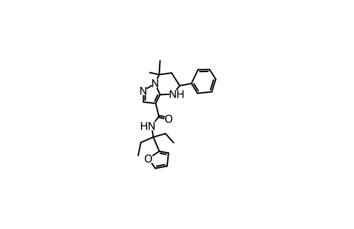 CCC(CC)(NC(=O)c1cnn2c1NC(c1ccccc1)CC2(C)C)c1ccco1